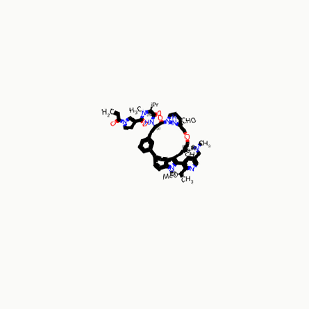 C=CC(=O)N1CCC(C(=O)N(C)[C@H](C(=O)N[C@H]2Cc3cccc(c3)-c3ccc4c(c3)c(c(-c3cc(CN(C)C)cnc3[C@H](C)OC)n4CC)CC(C)(C)COCC3(C=O)CCCN(N3)C2=O)C(C)C)C1